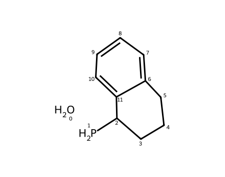 O.PC1CCCc2ccccc21